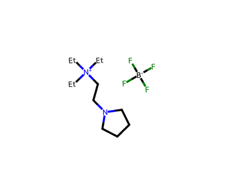 CC[N+](CC)(CC)CCN1CCCC1.F[B-](F)(F)F